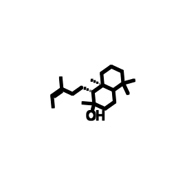 C/C=C(/C)CC[C@H]1C(C)(O)CCC2C(C)(C)CCC[C@@]21C